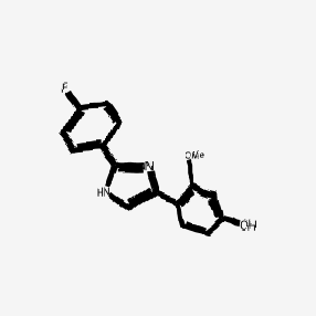 COc1cc(O)ccc1-c1c[nH]c(-c2ccc(F)cc2)n1